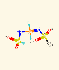 O=S(=O)(F)NP(F)(F)=NS(=O)(=O)C(F)(F)F